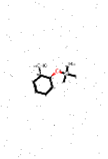 CC(C)(C)[Si](C)(C)O[C@H]1CCCC[C@H]1C=O